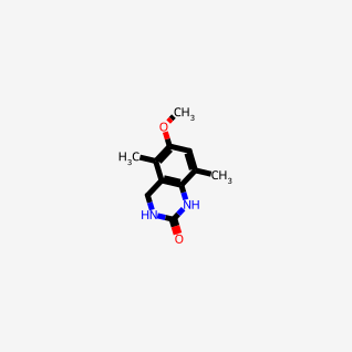 COc1cc(C)c2c(c1C)CNC(=O)N2